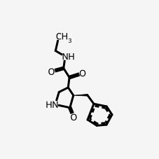 CCNC(=O)C(=O)C1CNC(=O)[C@@H]1Cc1ccccc1